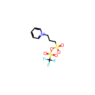 O=S(=O)(CCC[n+]1ccccc1)OS(=O)(=O)C(F)(F)F